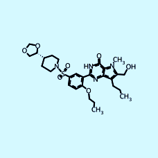 CCCOc1ccc(S(=O)(=O)N2CCC([C@@H]3COCO3)CC2)cc1-c1nc2c(CCC)c(CO)n(C)c2c(=O)[nH]1